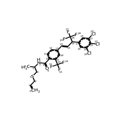 C=CCSCC(C)NC(=O)c1ccc(/C=C/C(c2cc(Cl)c(Cl)c(Cl)c2)C(F)(F)F)cc1C(F)(F)F